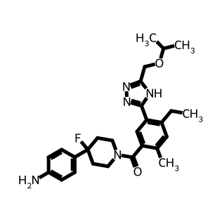 CCc1cc(C)c(C(=O)N2CCC(F)(c3ccc(N)cc3)CC2)cc1-c1nnc(COC(C)C)[nH]1